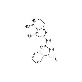 CC(NC(=O)Nc1cc(N)c2c(n1)CCNC2=N)c1ccccc1